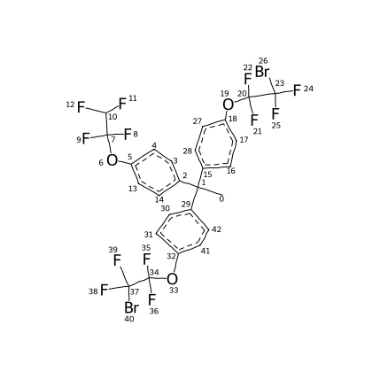 CC(c1ccc(OC(F)(F)C(F)F)cc1)(c1ccc(OC(F)(F)C(F)(F)Br)cc1)c1ccc(OC(F)(F)C(F)(F)Br)cc1